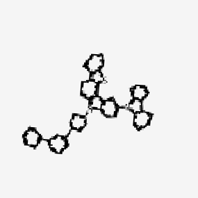 c1ccc(-c2cccc(-c3ccc(-n4c5ccc(-n6c7ccccc7c7ccccc76)cc5c5c6sc7ccccc7c6ccc54)cc3)c2)cc1